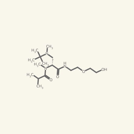 CC(C)C(=O)N(C)[C@H](CN(C)C(C)(C)C)C(=O)NCCOCCO